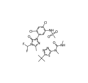 CNC(=O)N(C)c1nnc(C(C)(C)C)s1.Cc1nn(-c2cc(NS(C)(=O)=O)c(Cl)cc2Cl)c(=O)n1C(F)F